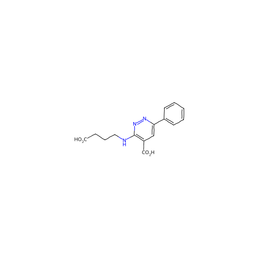 O=C(O)CCCNc1nnc(-c2ccccc2)cc1C(=O)O